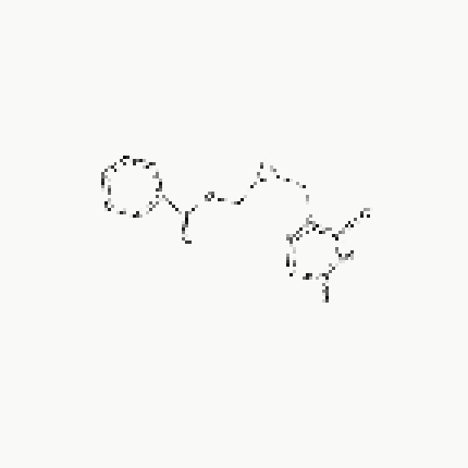 O=C(OCC1CC1Cn1ncc(=O)[nH]c1=O)c1ccccc1